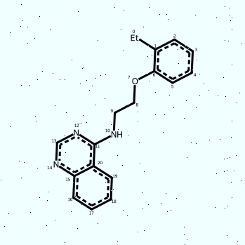 CCc1ccccc1OCCNc1ncnc2ccccc12